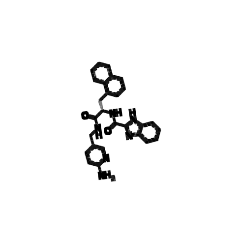 Nc1ccc(CNC(=O)[C@H](Cc2cccc3ccccc23)NC(=O)c2nc3ccccc3[nH]2)cn1